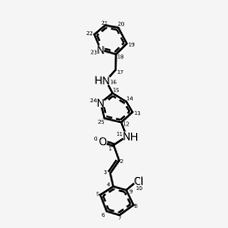 O=C(C=Cc1ccccc1Cl)Nc1ccc(NCc2ccccn2)nc1